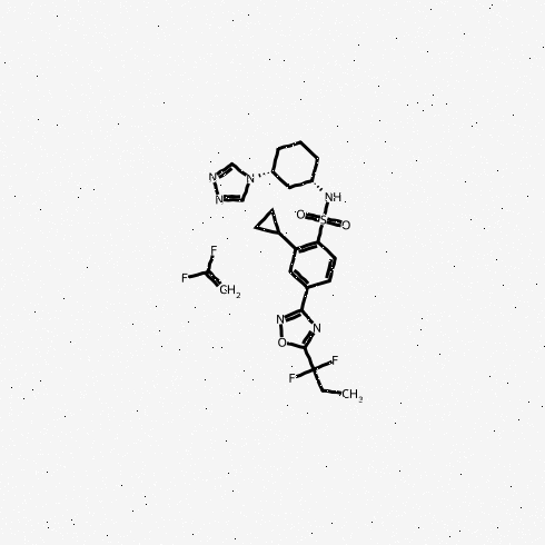 C=C(F)F.CCC(F)(F)c1nc(-c2ccc(S(=O)(=O)N[C@H]3CCC[C@@H](n4cnnc4)C3)c(C3CC3)c2)no1